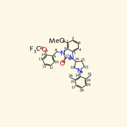 COc1cccc2c1n(Cc1ccccc1OC(F)(F)F)c(=O)n2C1CCN(c2c(C)cccc2C)C1